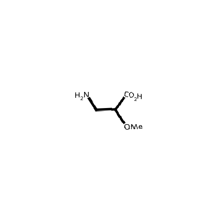 COC(CN)C(=O)O